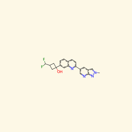 Cn1cc2cc(-c3ccc4ccc(C5(O)CC(C(F)F)C5)cc4n3)cnc2n1